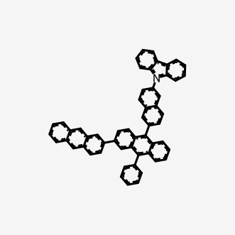 c1ccc(-c2c3ccccc3c(-c3ccc4cc(-n5c6ccccc6c6ccccc65)ccc4c3)c3ccc(-c4ccc5cc6ccccc6cc5c4)cc23)cc1